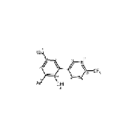 CC(=O)c1cc(C(C)(C)C)cc(-c2ccc(C(F)(F)F)nc2)c1O